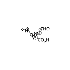 O=COC1CCCN(c2nc3cc(CCc4nc(C5CCC5)cs4)ccn3c(=O)c2C=CC(=O)O)C1